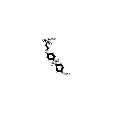 COc1ccc(S(=O)(=O)c2ccc(OCCS(=O)(=O)OC)cc2)cc1